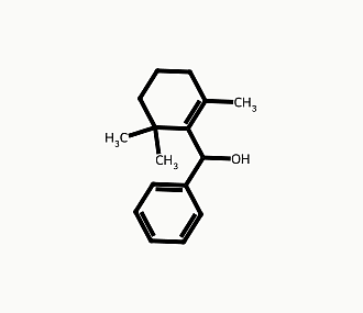 CC1=C(C(O)c2ccccc2)C(C)(C)CCC1